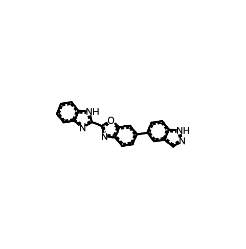 c1ccc2[nH]c(-c3nc4ccc(-c5ccc6[nH]ncc6c5)cc4o3)nc2c1